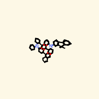 CC1(C)c2ccccc2-c2ccc(N(c3ccccc3)c3ccccc3-c3ccc(-c4ccccc4N(c4ccccc4)c4ccc(-c5cccc6c5CCC=C6)cc4)cc3)cc21